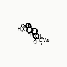 COC1CC2=CC[C@@H]3[C@@H](CC[C@]4(C)C(=O)CC[C@@H]34)[C@@]2(C)CC1C